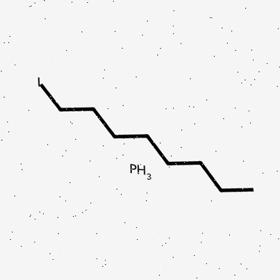 CCCCCCCCI.P